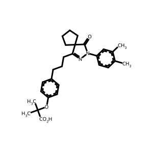 Cc1ccc(N2N=C(CCCc3ccc(OC(C)(C)C(=O)O)cc3)C3(CCCC3)C2=O)cc1C